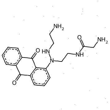 NCCNN(CCNC(=O)CN)c1cccc2c1C(=O)c1ccccc1C2=O